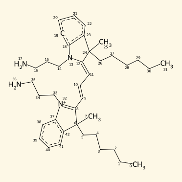 CCCCCCC1(C)C(/C=C/C=C2\N(CCCN)c3ccccc3C2(C)CCCCCC)=[N+](CCCN)c2ccccc21